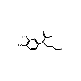 CCCCN(C(C)=O)c1ccc(O)c(O)c1